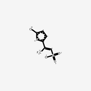 O=S(=O)(Cl)C=C(c1ccc(Cl)s1)C(F)(F)F